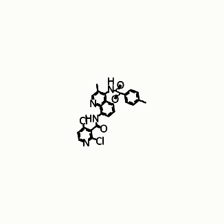 Cc1ccc(S(=O)(=O)Nc2c(C)cnc3c(NC(=O)c4c(Cl)ccnc4Cl)cccc23)cc1